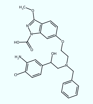 COc1nn(C(=O)O)c2cc(OCCN(Cc3ccccc3)CC(O)c3ccc(Cl)c(N)c3)ccc12